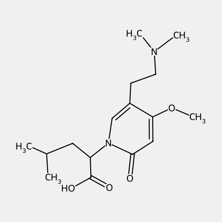 COc1cc(=O)n(C(CC(C)C)C(=O)O)cc1CCN(C)C